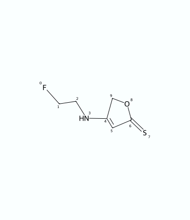 FCCNC1=CC(=S)OC1